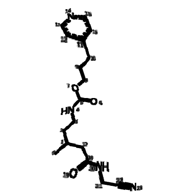 CC(CCNC(=O)OCCCc1ccncc1)CC(=O)NCC#N